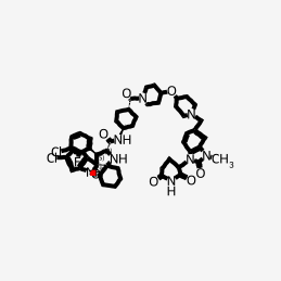 Cn1c(=O)n(C2CCC(=O)NC2=O)c2ccc(CN3CCC(OC4CCN(C(=O)[C@H]5CC[C@H](NC(=O)[C@@H]6NC7(CCCCC7)[C@@]7(C(=O)Nc8cc(Cl)ccc87)[C@H]6c6cccc(Cl)c6F)CC5)CC4)CC3)cc21